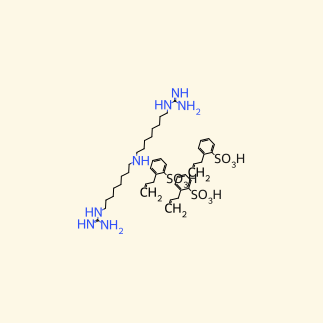 C=CCc1ccccc1S(=O)(=O)O.C=CCc1ccccc1S(=O)(=O)O.C=CCc1ccccc1S(=O)(=O)O.N=C(N)NCCCCCCCCNCCCCCCCCNC(=N)N